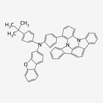 CC(C)(C)c1ccc(N(c2ccc(-c3cccc4c3n3c5ccccc5c5ccc6c7ccccc7n4c6c53)cc2)c2ccc3c(c2)oc2ccccc23)cc1